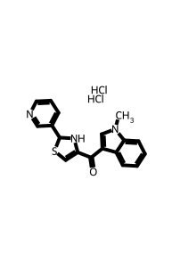 Cl.Cl.Cn1cc(C(=O)C2=CSC(c3cccnc3)N2)c2ccccc21